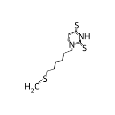 C=CSCCCCCCn1ccc(=S)[nH]c1=S